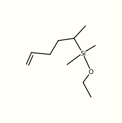 C=CCCC(C)[Si](C)(C)OCC